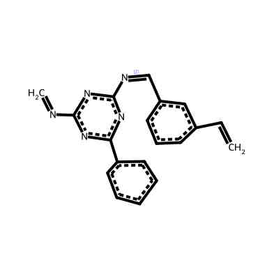 C=Cc1cccc(/C=N\c2nc(N=C)nc(-c3ccccc3)n2)c1